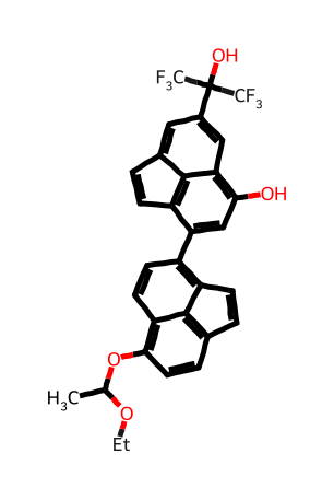 CCOC(C)Oc1ccc2c3c(c(-c4cc(O)c5cc(C(O)(C(F)(F)F)C(F)(F)F)cc6c5c4C=C6)ccc13)C=C2